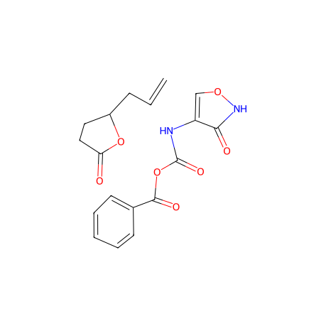 C=CCC1CCC(=O)O1.O=C(Nc1co[nH]c1=O)OC(=O)c1ccccc1